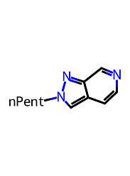 CCCCCn1cc2ccncc2n1